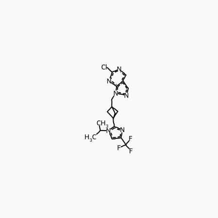 CC(C)n1cc(C(F)(F)F)nc1C12CC(Cn3ncc4cnc(Cl)nc43)(C1)C2